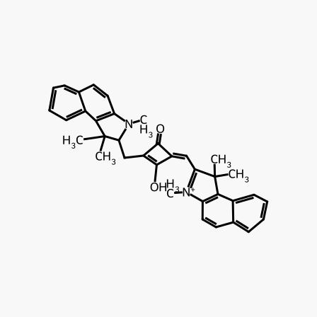 CN1c2ccc3ccccc3c2C(C)(C)C1CC1=C(O)C(=CC2=[N+](C)c3ccc4ccccc4c3C2(C)C)C1=O